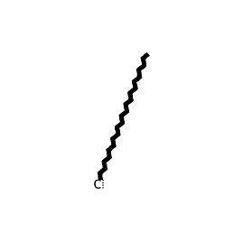 CCCCCCCCCCCCCCCCCCCCCCC.[C]